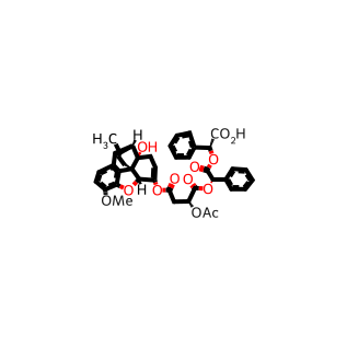 COc1ccc2c3c1O[C@H]1C(OC(=O)C[C@H](OC(C)=O)C(=O)O[C@H](C(=O)O[C@H](C(=O)O)c4ccccc4)c4ccccc4)=CC[C@@]4(O)[C@@H](C2)C(C)CC[C@]314